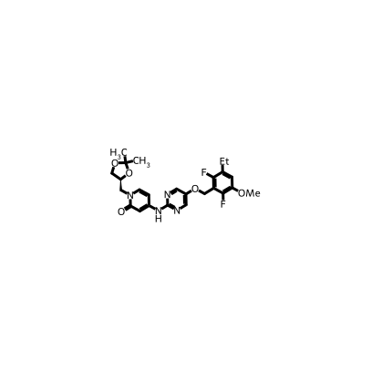 CCc1cc(OC)c(F)c(COc2cnc(Nc3ccn(C[C@H]4COC(C)(C)O4)c(=O)c3)nc2)c1F